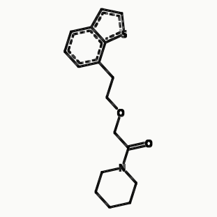 O=C(COCCc1cccc2ccsc12)N1CCCCC1